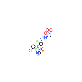 Cn1cc(F)c(N2CC(C)(c3cccc(Cl)c3F)c3c(ccc(NC4CN([C@@H]5CCCN(C(=O)OC(C)(C)C)C5=O)C4)c3F)C2=O)n1